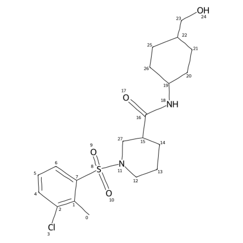 Cc1c(Cl)cccc1S(=O)(=O)N1CCCC(C(=O)NC2CCC(CO)CC2)C1